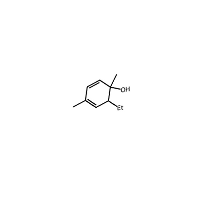 CCC1C=C(C)C=CC1(C)O